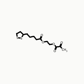 CC(=O)C(=O)OCCOC(=O)CCCCC1CCSS1